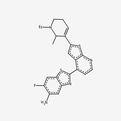 CCN1CCC=C(c2cc3c(-c4nc5cc(N)c(F)cc5s4)ccnc3s2)C1C